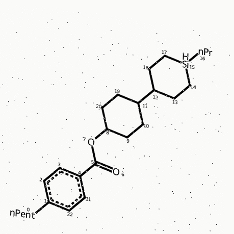 CCCCCc1ccc(C(=O)OC2CCC(C3CC[SiH](CCC)CC3)CC2)cc1